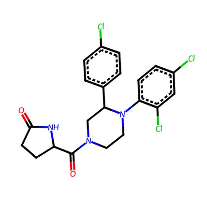 O=C1CCC(C(=O)N2CCN(c3ccc(Cl)cc3Cl)C(c3ccc(Cl)cc3)C2)N1